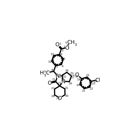 COC(=O)c1ccc(C(C)NC(=O)C2(N3CC[C@H](Oc4cccc(Cl)c4)C3)CCOCC2)cc1